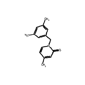 Cc1cc(C)cc(Cn2ccc(C)cc2=O)c1